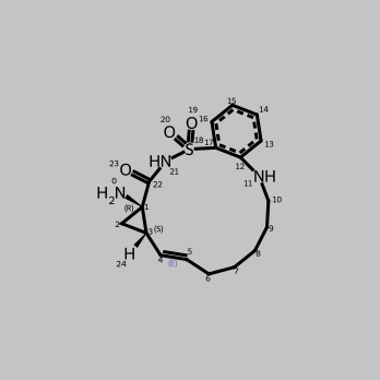 N[C@]12C[C@H]1/C=C/CCCCCNc1ccccc1S(=O)(=O)NC2=O